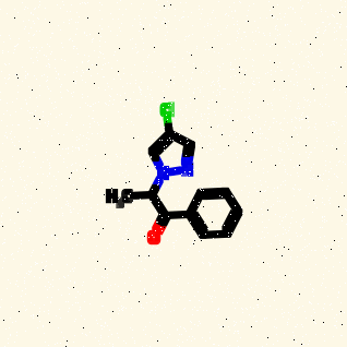 CC(C(=O)c1ccccc1)n1cc(Cl)cn1